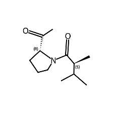 CC(=O)[C@H]1CCCN1C(=O)[C@@H](C)C(C)C